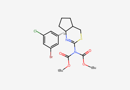 CC(C)(C)OC(=O)N(C(=O)OC(C)(C)C)C1=N[C@@]2(c3cc(Cl)cc(Br)c3)CCCC2CS1